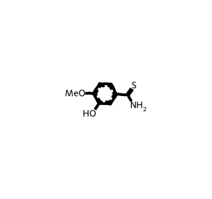 COc1ccc(C(N)=S)cc1O